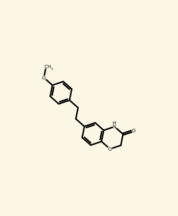 COc1ccc(CCc2ccc3c(c2)NC(=O)CO3)cc1